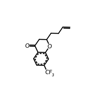 C=CCCC1CC(=O)c2ccc(C(F)(F)F)cc2O1